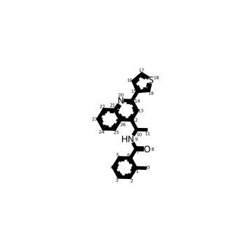 Cc1ccccc1C(=O)NC(C)c1cc(-c2ccsc2)nc2ccccc12